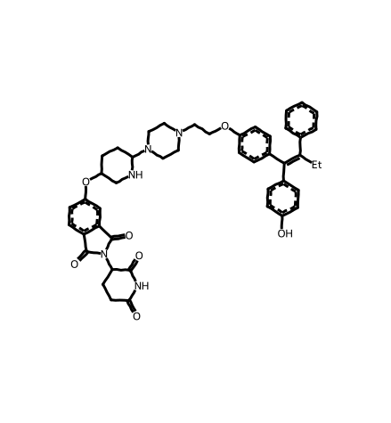 CC/C(=C(\c1ccc(O)cc1)c1ccc(OCCN2CCN(C3CCC(Oc4ccc5c(c4)C(=O)N(C4CCC(=O)NC4=O)C5=O)CN3)CC2)cc1)c1ccccc1